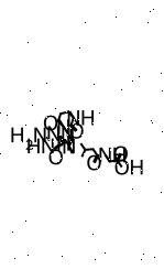 CC(C)CC(=O)NCC(=O)O.Cn1cnc2nc(N)[nH]c(=O)c21.O=C1CCNC(=O)N1